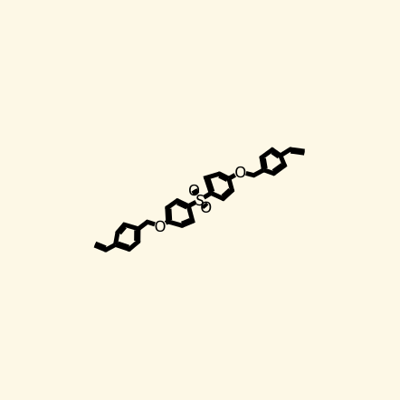 C=Cc1ccc(COc2ccc(S(=O)(=O)c3ccc(OCc4ccc(C=C)cc4)cc3)cc2)cc1